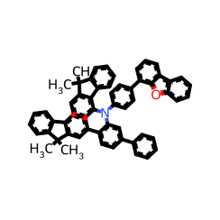 CC1(C)c2ccccc2-c2ccc(-c3ccc(-c4ccccc4)cc3N(c3ccc(-c4cccc5c4oc4ccccc45)cc3)c3cccc4c3-c3ccccc3C4(C)C)cc21